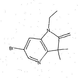 C=C1N(CC)c2cc(Br)cnc2C1(C)C